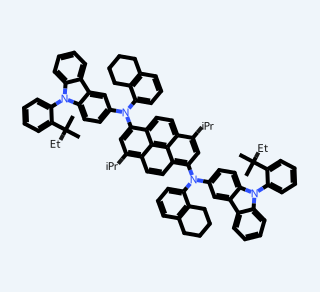 CCC(C)(C)c1ccccc1-n1c2ccccc2c2cc(N(c3cccc4c3CCCC4)c3cc(C(C)C)c4ccc5c(N(c6ccc7c(c6)c6ccccc6n7-c6ccccc6C(C)(C)CC)c6cccc7c6CCCC7)cc(C(C)C)c6ccc3c4c65)ccc21